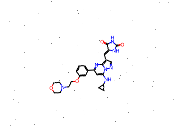 O=C1NC(=O)/C(=C/c2cnn3c(NC4CC4)cc(-c4cccc(OCCN5CCOCC5)c4)nc23)N1